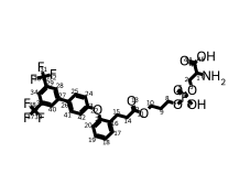 NC(COP(=O)(O)OCCCOC(=O)CCc1ccccc1Oc1ccc(-c2cc(C(F)(F)F)cc(C(F)(F)F)c2)cc1)C(=O)O